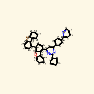 c1ccc(-c2nc(-c3ccc(-c4ccccn4)cc3)cc(-c3ccc(-c4cccc5sc6ccccc6c45)c4oc5ccccc5c34)n2)cc1